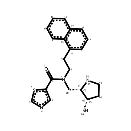 O=C(c1cncs1)N(CCc1cccc2ccccc12)C[C@@H]1NCC[C@@H]1S